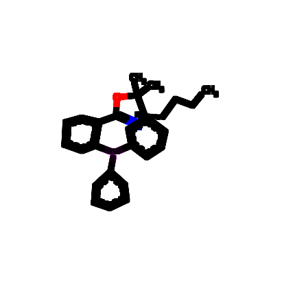 CCCC[C@@H]1N=C(c2ccccc2P(c2ccccc2)c2ccccc2)OC1(C)C